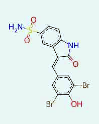 NS(=O)(=O)c1ccc2c(c1)C(=Cc1cc(Br)c(O)c(Br)c1)C(=O)N2